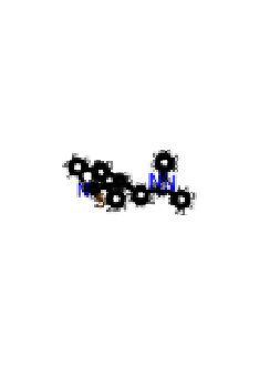 N#Cc1ccccc1-c1ccc2c(c1)C1(c3ccccc3Sc3ccccc31)c1cc(-c3cccc(-c4cc(-c5ccccc5)nc(-c5ccccc5)n4)c3)ccc1-2